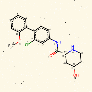 O=C(Nc1ccc(-c2ccccc2OC(F)(F)F)c(Cl)c1)[C@H]1C[C@@H](O)CCN1